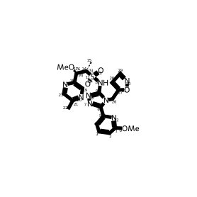 COc1cccc(-c2nnc(NS(=O)(=O)[C@@H](C)[C@H](OC)c3cnc(C)cn3)n2Cc2ccno2)n1